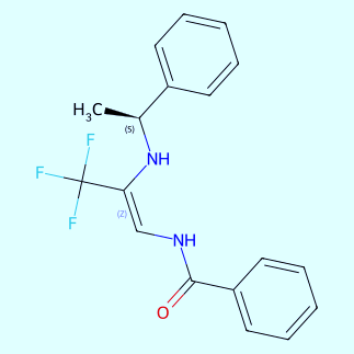 C[C@H](N/C(=C\NC(=O)c1ccccc1)C(F)(F)F)c1ccccc1